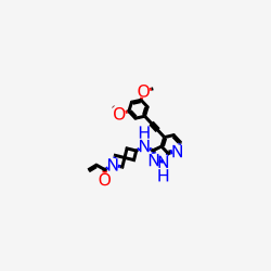 C=CC(=O)N1CC2(CC(Nc3n[nH]c4nccc(C#Cc5cc(OC)cc(OC)c5)c34)C2)C1